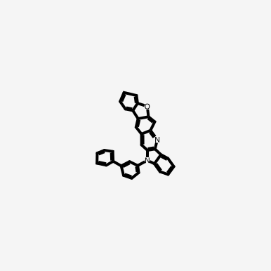 c1ccc(-c2cccc(-n3c4ccccc4c4nc5cc6oc7ccccc7c6cc5cc43)c2)cc1